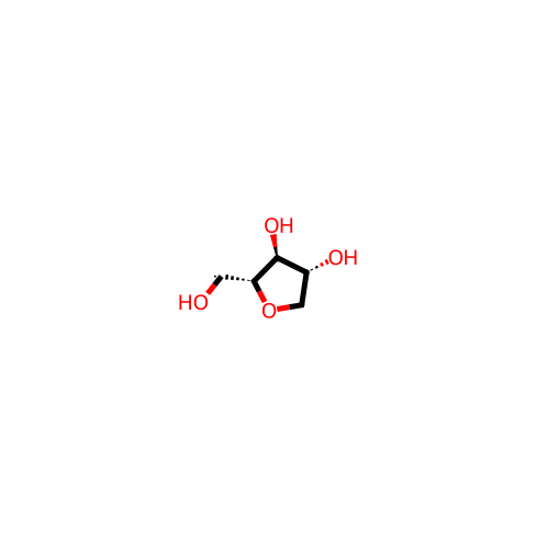 O[CH][C@H]1OC[C@@H](O)[C@@H]1O